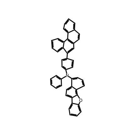 c1ccc(N(c2ccc(-c3cc4ccc5ccccc5c4c4ccccc34)cc2)c2cccc3c2ccc2c4ccccc4oc32)cc1